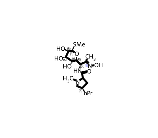 CCC[C@@H]1CC(C(=O)N[C@H](/C(C)=N/O)[C@H]2O[C@H](SC)[C@H](O)[C@@H](O)[C@H]2O)N(C)C1